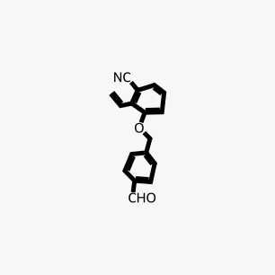 C=Cc1c(C#N)cccc1OCc1ccc(C=O)cc1